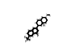 CC[C@@H]1CC[C@@H]2CC(c3cc(F)c4cc(C(F)(F)F)ccc4c3)CCC2C1